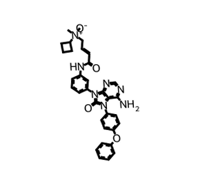 C[N+]([O-])(C/C=C/C(=O)Nc1cccc(-n2c(=O)n(-c3ccc(Oc4ccccc4)cc3)c3c(N)ncnc32)c1)C1CCC1